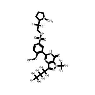 [2H]C([2H])(CNS(=O)(=O)c1ccc(OCCC)c(-c2nc3c(C([2H])([2H])C([2H])([2H])C([2H])([2H])[2H])nn(C([2H])([2H])[2H])c3c(=O)[nH]2)c1)C1CCCN1C